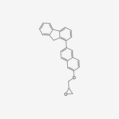 c1ccc2c(c1)Cc1c(-c3ccc4cc(OCC5CO5)ccc4c3)cccc1-2